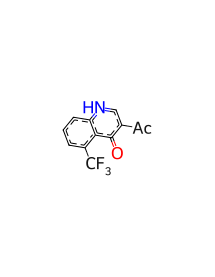 CC(=O)c1c[nH]c2cccc(C(F)(F)F)c2c1=O